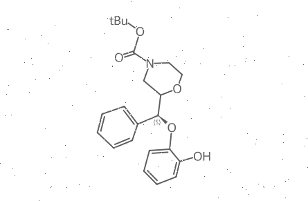 CC(C)(C)OC(=O)N1CCOC([C@@H](Oc2ccccc2O)c2ccccc2)C1